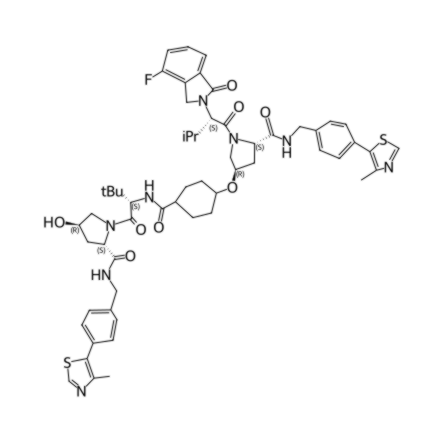 Cc1ncsc1-c1ccc(CNC(=O)[C@@H]2C[C@@H](OC3CCC(C(=O)N[C@H](C(=O)N4C[C@H](O)C[C@H]4C(=O)NCc4ccc(-c5scnc5C)cc4)C(C)(C)C)CC3)CN2C(=O)[C@H](C(C)C)N2Cc3c(F)cccc3C2=O)cc1